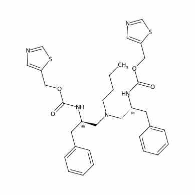 CCCCN(C[C@@H](Cc1ccccc1)NC(=O)OCc1cncs1)C[C@@H](Cc1ccccc1)NC(=O)OCc1cncs1